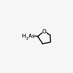 [AsH2][C]1CCCO1